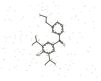 CCCc1cccc(C(=O)c2cc(C(C)C)c(O)c(C(C)C)c2)c1